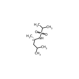 CC(C)C[C@H](C)NS(=O)(=O)C(C)C